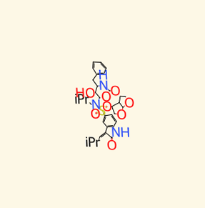 CC(C)C=C1C(=O)Nc2ccc(S(=O)(=O)N(CC(C)C)CC(O)C(Cc3ccccc3)NC(=O)OC3COC4OCCC34)cc21